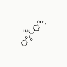 COc1ccc(C[C@H](N)C(=O)Oc2ccccc2)cc1